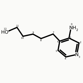 Nc1cnccc1CCCCCO